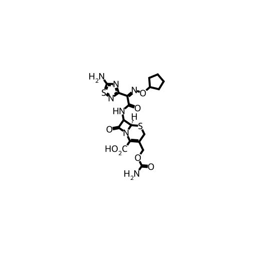 NC(=O)OCC1=C(C(=O)O)N2C(=O)C(NC(=O)/C(=N\OC3CCCC3)c3nsc(N)n3)[C@H]2SC1